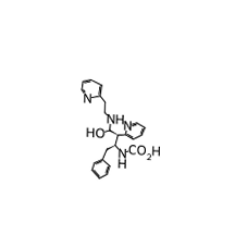 O=C(O)N[C@@H](Cc1ccccc1)[C@H](c1ccccn1)C(O)NCCc1ccccn1